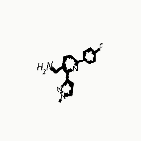 Cn1ccc(-c2nc(-c3ccc(F)cc3)ccc2CN)n1